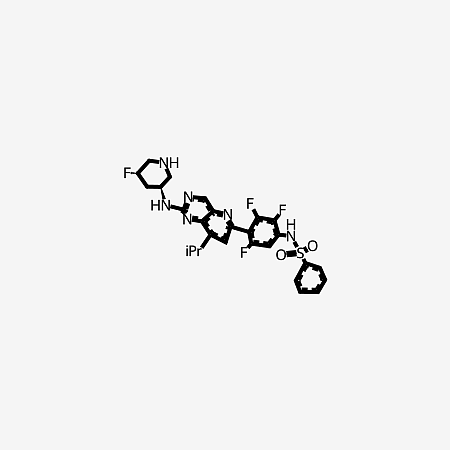 CC(C)c1cc(-c2c(F)cc(NS(=O)(=O)c3ccccc3)c(F)c2F)nc2cnc(N[C@@H]3CNC[C@@H](F)C3)nc12